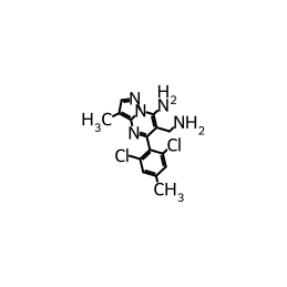 Cc1cc(Cl)c(-c2nc3c(C)cnn3c(N)c2CN)c(Cl)c1